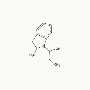 CCC(O)N1c2ccccc2CC1C